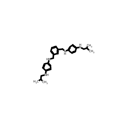 CC(C)CNc1ccc(NCc2cccc(CNc3ccc(NCC(C)C)cc3)c2)cc1